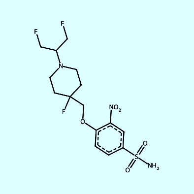 NS(=O)(=O)c1ccc(OCC2(F)CCN(C(CF)CF)CC2)c([N+](=O)[O-])c1